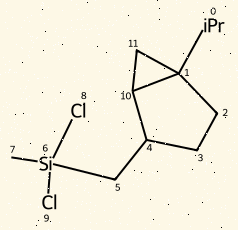 CC(C)C12CCC(C[Si](C)(Cl)Cl)C1C2